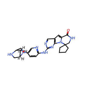 C[C@H]1C2CN(c3ccc(Nc4ncc5cc6n(c5n4)C4(CCCC4)CNC6=O)nc3)[C@H]1CN2